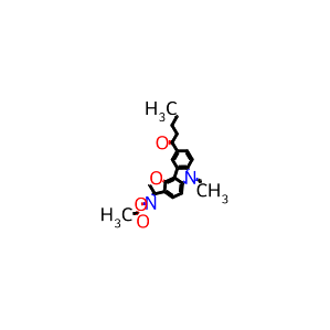 CCCCC(=O)c1ccc2c(c1)c1c3c(ccc1n2CC)/C(=N/OC(C)=O)CO3